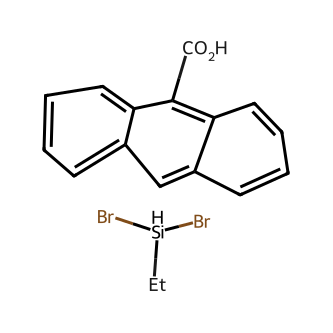 CC[SiH](Br)Br.O=C(O)c1c2ccccc2cc2ccccc12